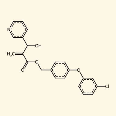 C=C(C(=O)OCc1ccc(Oc2cccc(Cl)c2)cc1)C(O)c1cccnc1